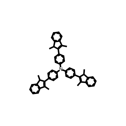 CC1=C(c2ccc(N(c3ccc(C4=C(C)c5ccccc5C4C)cc3)c3ccc(C4=C(C)c5ccccc5C4C)cc3)cc2)C(C)c2ccccc21